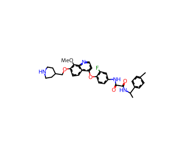 COc1c(OCC2CCNCC2)ccc2c(Oc3ccc(NC(=O)C(=O)NC(C)c4ccc(C)cc4)cc3F)ccnc12